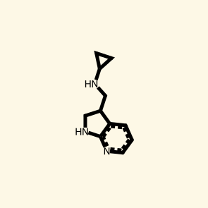 c1cnc2c(c1)C(CNC1CC1)CN2